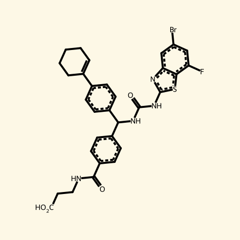 O=C(O)CCNC(=O)c1ccc(C(NC(=O)Nc2nc3cc(Br)cc(F)c3s2)c2ccc(C3=CCCCC3)cc2)cc1